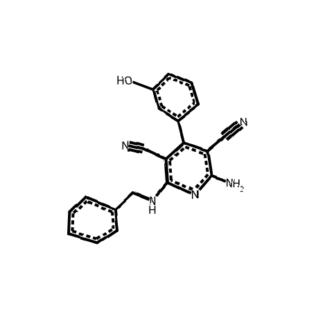 N#Cc1c(N)nc(NCc2ccccc2)c(C#N)c1-c1cccc(O)c1